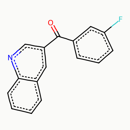 O=C(c1cccc(F)c1)c1cnc2ccccc2c1